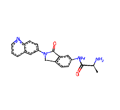 C[C@H](N)C(=O)Nc1ccc2c(c1)C(=O)N(c1ccc3ncccc3c1)C2